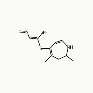 C=N/C=C(/SC1=C(C)CC(C)NC=C1)C(C)C